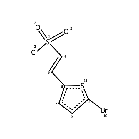 O=S(=O)(Cl)C=Cc1ccc(Br)s1